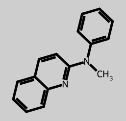 CN(c1ccccc1)c1ccc2ccccc2n1